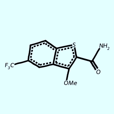 COc1c(C(N)=O)sc2ccc(C(F)(F)F)cc12